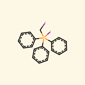 ICP(I)(c1ccccc1)(c1ccccc1)c1ccccc1